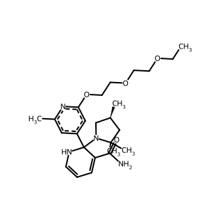 CCOCCOCCOc1cc(C2(N3C[C@@H](C)CC3(C)C)NC=CC=C2C(N)=O)cc(C)n1